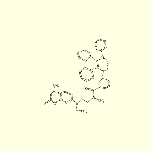 CCN(CCN(C)C(=O)c1cccc(N2CCN(c3ccccc3)C(c3ccccc3)=C2c2ccccc2)c1)c1ccc2c(C)cc(=O)oc2c1